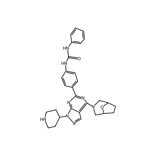 O=C(Nc1ccccc1)Nc1ccc(-c2nc(N3CC4CCC(C3)O4)c3cnn(C4CCNCC4)c3n2)cc1